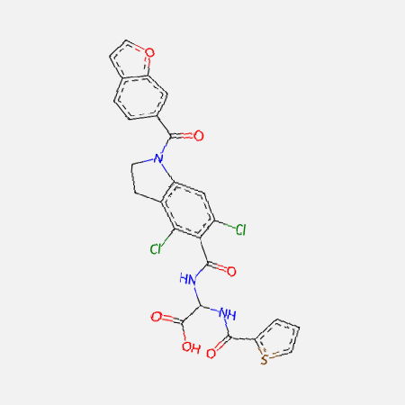 O=C(NC(NC(=O)c1c(Cl)cc2c(c1Cl)CCN2C(=O)c1ccc2ccoc2c1)C(=O)O)c1cccs1